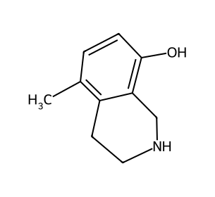 Cc1ccc(O)c2c1CCNC2